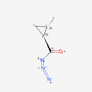 C[C@H]1C[C@@H]1C(=O)N=[N+]=[N-]